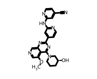 COc1cncc2nc(-c3ccnc(Nc4cc(C#N)ccn4)c3)nc(N3CCC[C@H](O)C3)c12